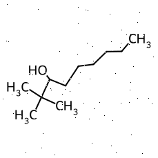 CCCCCCC(O)C(C)(C)C